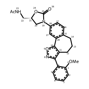 COc1ccccc1-c1noc2c1CCCc1ccc(N3C[C@H](CNC(C)=O)OC3=O)cc1-2